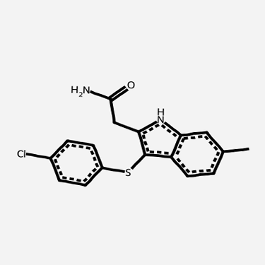 Cc1ccc2c(Sc3ccc(Cl)cc3)c(CC(N)=O)[nH]c2c1